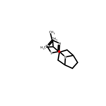 Cc1nsc(N2C3CCC2CC(C(C)C)C3)n1